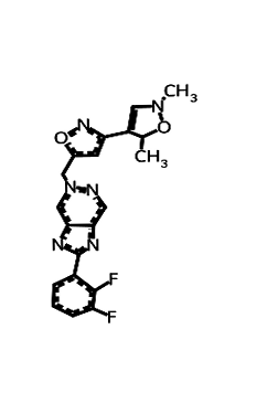 CC1ON(C)C=C1c1cc(Cn2cc3nc(-c4cccc(F)c4F)nc-3cn2)on1